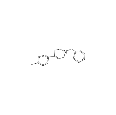 Cc1ccc(C2=CCN(Cc3ccccc3)CC2)cc1